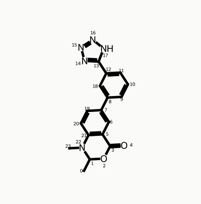 CC1OC(=O)c2cc(-c3cccc(-c4nnn[nH]4)c3)ccc2N1C